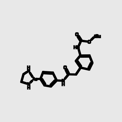 CC(C)(C)OC(=O)Nc1cccc(CC(=O)Nc2ccc([As]3NCCN3)cc2)c1